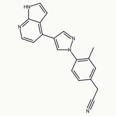 Cc1cc(CC#N)ccc1-n1cc(-c2ccnc3[nH]ccc23)cn1